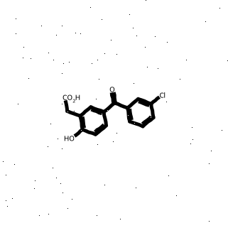 O=C(O)Cc1cc(C(=O)c2cccc(Cl)c2)ccc1O